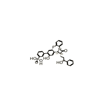 O=C1[C@H](CC[C@H](O)c2ccccc2)[C@@H](c2ccc(-c3cccc(P(=O)(O)O)c3)c(O)c2)N1c1ccccc1F